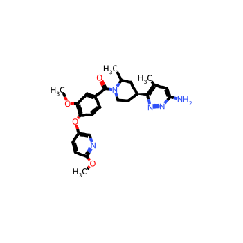 COc1ccc(Oc2ccc(C(=O)N3CC[C@H](c4nnc(N)cc4C)CC3C)cc2OC)cn1